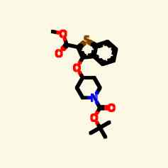 COC(=O)c1sc2ccccc2c1OC1CCN(C(=O)OC(C)(C)C)CC1